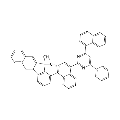 CC1(C)c2cc3ccccc3cc2-c2cccc(-c3ccc(-c4nc(-c5ccccc5)cc(-c5cccc6ccccc56)n4)c4ccccc34)c21